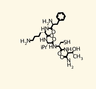 CC(C)[C@H](NC(=O)[C@H](CCCCN)NC(=O)[C@@H](N)Cc1ccccc1)C(=O)N[C@@H](CS)C(=O)N[C@H](C(N)=O)[C@@H](C)O